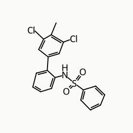 Cc1c(Cl)cc(-c2ccccc2NS(=O)(=O)c2ccccc2)cc1Cl